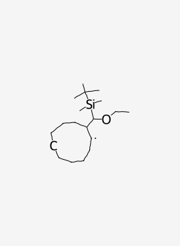 CCOC(C1[CH]CCCCCCCC1)[Si](C)(C)C(C)(C)C